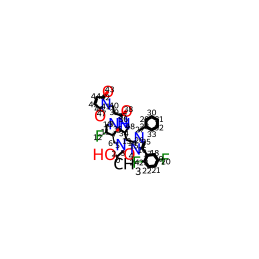 C[C@H](O)C(=O)N(C[C@@H]1CNC[C@@H]1F)C(c1nc(-c2cc(F)ccc2F)cn1Cc1ccccc1)C1CN(C(=O)CCN2C(=O)C=CC2=O)C1